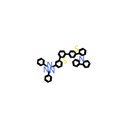 c1ccc(-c2nc(-c3ccccc3)nc(-c3ccc4sc5c(-c6ccc7c(c6)sc6cccc(-n8c9ccccc9c9ccccc98)c67)cccc5c4c3)n2)cc1